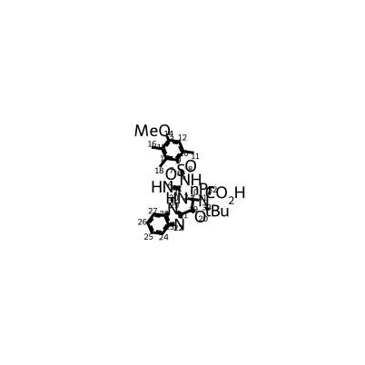 CCC[C@@](NC(=N)NS(=O)(=O)c1c(C)cc(OC)c(C)c1C)(C(=O)c1nc2ccccc2n1C)N(C(=O)O)C(C)(C)C